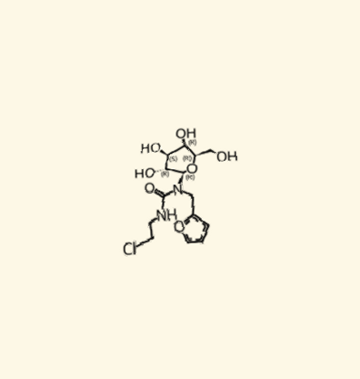 O=C(NCCCl)N(Cc1ccco1)[C@@H]1O[C@H](CO)[C@H](O)[C@H](O)[C@H]1O